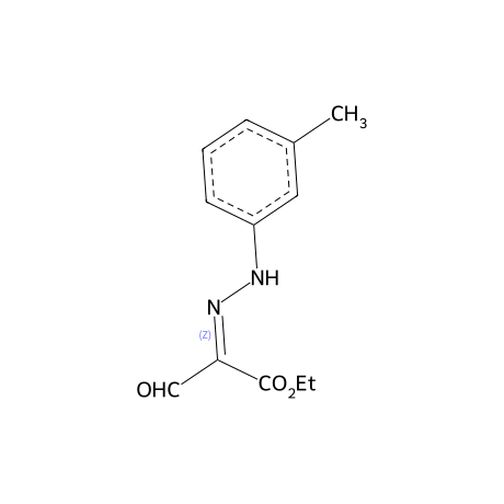 CCOC(=O)/C(C=O)=N\Nc1cccc(C)c1